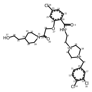 O=C(NCCN1CCN(Cc2ccc(Cl)c(Cl)c2)CC1)c1ccc(Cl)cc1OCC(=O)N1CCC(CCO)CC1